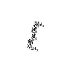 Cc1cccc(-c2noc(-c3cccc(OCC4CCN(Cc5ccc(C)c(C)c5)CC4)c3)n2)n1